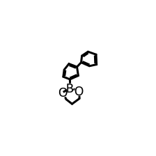 c1ccc(-c2cccc(B3OCCCO3)c2)cc1